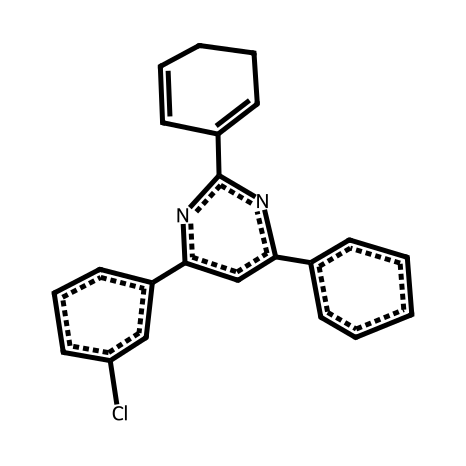 Clc1cccc(-c2cc(-c3ccccc3)nc(C3=CCCC=C3)n2)c1